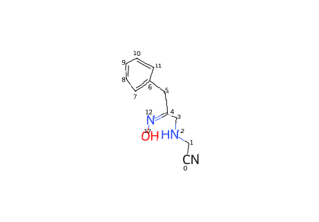 N#CCNCC(Cc1ccccc1)=NO